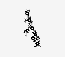 CCc1ccc(CN2CCN(C3CC4(CCN(c5ccc(C(=O)NS(=O)(=O)c6ccc(NCC7CCC(C)(O)CC7)c([N+](=O)[O-])c6)c(Oc6cnc7[nH]ccc7c6)c5)CC4)C3)[C@H](c3ccccc3C(C)C)C2)cc1OC